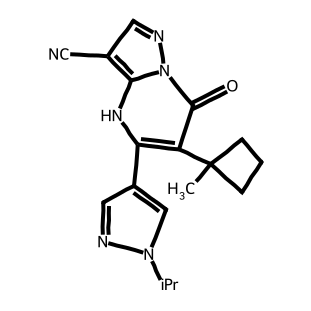 CC(C)n1cc(-c2[nH]c3c(C#N)cnn3c(=O)c2C2(C)CCC2)cn1